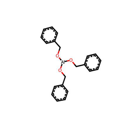 c1ccc(C[O][Al]([O]Cc2ccccc2)[O]Cc2ccccc2)cc1